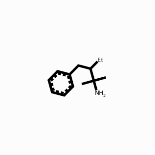 CCC(Cc1ccccc1)C(C)(C)N